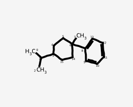 CC(C)C1CCC(C)(c2[c]cccc2)CC1